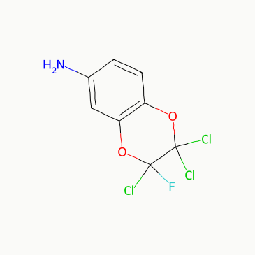 Nc1ccc2c(c1)OC(F)(Cl)C(Cl)(Cl)O2